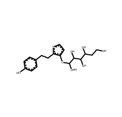 COC(Oc1ccsc1CCc1ccc(O)cc1)C(O)C(O)C(O)CCO